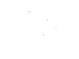 [C-]#[N+]C1=C(C)Nc2cc[nH]c(=O)c2C1c1cccc2c(=O)cc(C)oc12